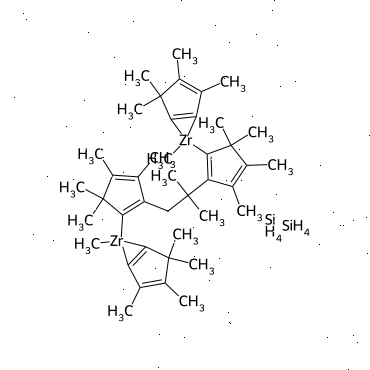 CC1=C(C)C(C)(C)[C]([Zr]2([CH3])[C]3=[C]2C(C)(C)C(C)=C3C)=C1CC(C)(C)C1=[C]([Zr]2([CH3])[C]3=[C]2C(C)(C)C(C)=C3C)C(C)(C)C(C)=C1C.[SiH4].[SiH4]